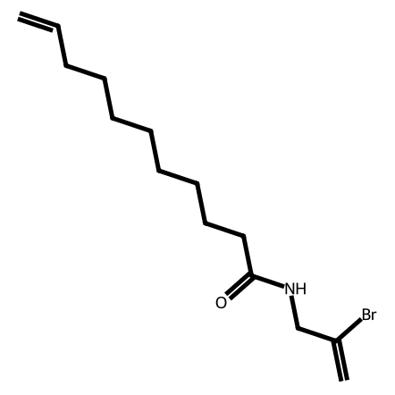 C=CCCCCCCCCC(=O)NCC(=C)Br